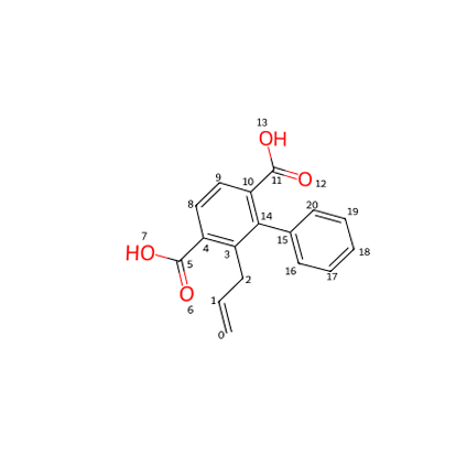 C=CCc1c(C(=O)O)ccc(C(=O)O)c1-c1ccccc1